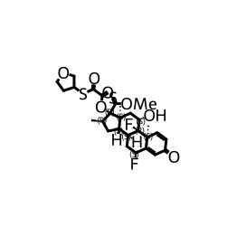 COC(=S)[C@@]1(OC(=O)C(=O)SC2CCOC2)[C@H](C)C[C@H]2[C@@H]3C[C@H](F)C4=CC(=O)C=C[C@]4(C)[C@@]3(F)[C@@H](O)C[C@@]21C